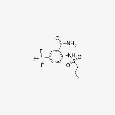 CCCS(=O)(=O)Nc1ccc(C(F)(F)F)cc1C(N)=O